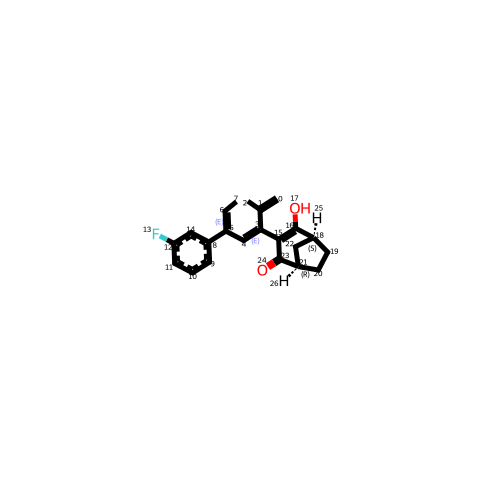 C=C(C)/C(=C\C(=C/C)c1cccc(F)c1)C1=C(O)[C@H]2CC[C@H](C2)C1=O